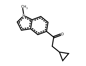 Cn1ccc2cc(C(=O)CC3CC3)ccc21